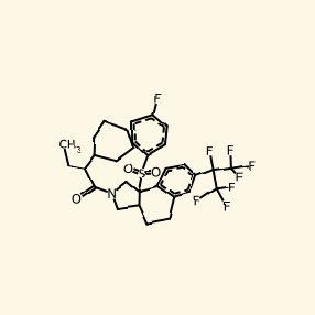 CCC(C(=O)N1CC2CCc3cc(C(F)(C(F)(F)F)C(F)(F)F)ccc3C2(S(=O)(=O)c2ccc(F)cc2)C1)C1CCCCC1